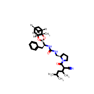 CC(C)CC(C)C(C#N)C(=O)N1CCC[C@@H]1CNC(=O)N[C@@H](Cc1ccccc1)B1O[C@@H]2C[C@@H]3C[C@@H](C3(C)C)[C@]2(C)O1